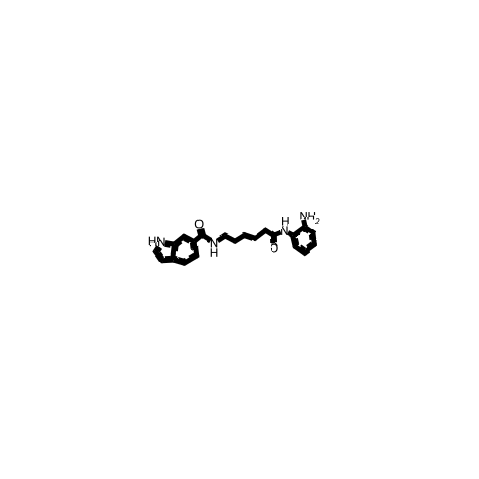 Nc1ccccc1NC(=O)CCCCCNC(=O)c1ccc2cc[nH]c2c1